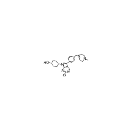 CN1CCN(Cc2ccc(-c3cn(C4CCC(O)CC4)c4nc(Cl)ncc34)cc2)CC1